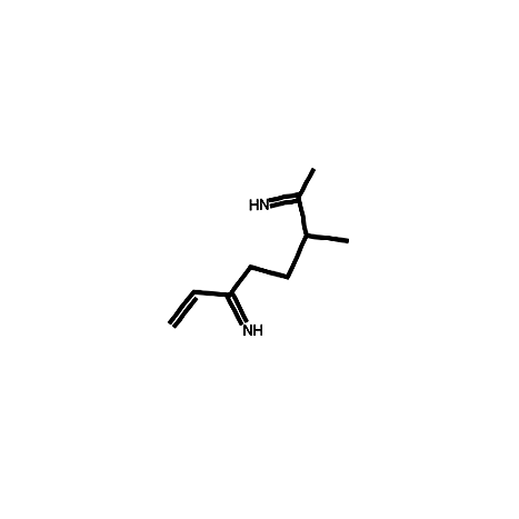 C=CC(=N)CCC(C)C(C)=N